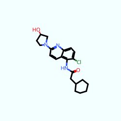 O=C(CC1CCCCC1)Nc1c(Cl)ccc2nc(N3CC[C@@H](O)C3)ccc12